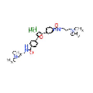 CN(C)CCCNC(=O)c1ccc(-c2ccc(-c3ccc(C(=O)NCCCN(C)C)cc3)o2)cc1.Cl.Cl